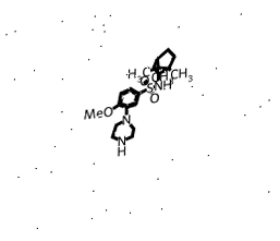 COc1ccc(S(=O)(=O)NC2CC3CCC2(C)C3(C)C)cc1N1CCNCC1